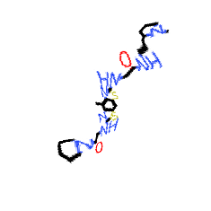 Cc1c2nc(NCC(=O)NCCC3CCCN3C)sc2cc2sc(NCC(=O)N3CCCCC3)nc12